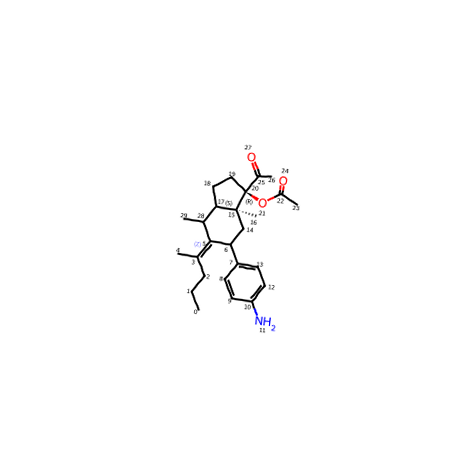 CCC/C(C)=C1\C(c2ccc(N)cc2)C[C@@]2(C)C(CC[C@]2(OC(C)=O)C(C)=O)C1C